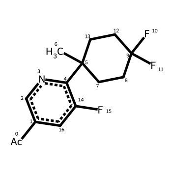 CC(=O)c1cnc(C2(C)CCC(F)(F)CC2)c(F)c1